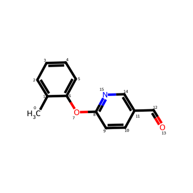 Cc1ccccc1Oc1ccc(C=O)cn1